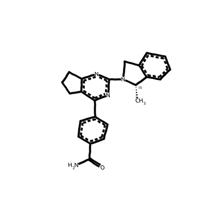 C[C@H]1c2ccccc2CN1c1nc2c(c(-c3ccc(C(N)=O)cc3)n1)CCC2